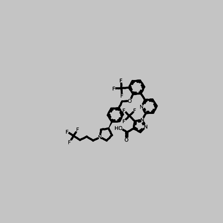 O=C(O)c1cnn(-c2cccc(-c3cccc(C(F)(F)F)c3OCc3ccc([C@H]4CCN(CCCC(F)(F)F)C4)cc3)n2)c1C(F)(F)F